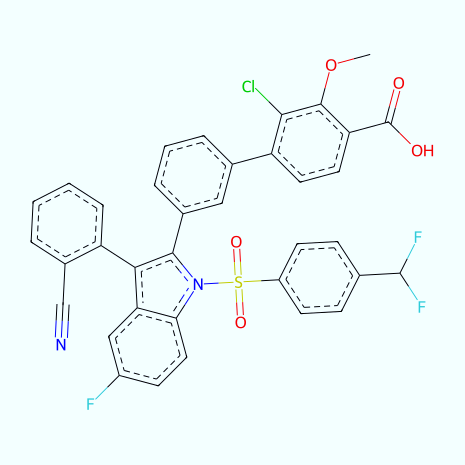 COc1c(C(=O)O)ccc(-c2cccc(-c3c(-c4ccccc4C#N)c4cc(F)ccc4n3S(=O)(=O)c3ccc(C(F)F)cc3)c2)c1Cl